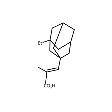 CCC12CC3CC(CC(C=C(C)C(=O)O)(C3)C1)C2